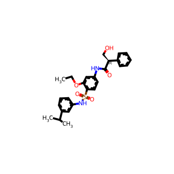 CCOc1cc(NC(=O)[C@@H](CO)c2ccccc2)ccc1S(=O)(=O)Nc1cccc(C(C)C)c1